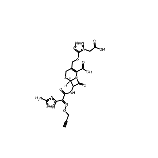 C#CCON=C(C(=O)NC1C(=O)N2C(C(=O)O)=C(CSc3nnnn3CC(=O)O)CS[C@@H]12)c1nsc(N)n1